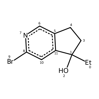 CCC1(O)CCc2cnc(Br)cc21